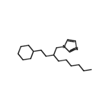 CCCCCCC(CCC1CCCCC1)Cn1ccnc1